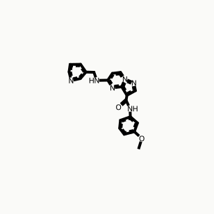 COc1cccc(NC(=O)c2cnn3ccc(NCc4cccnc4)nc23)c1